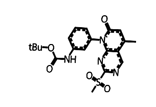 Cc1cc(=O)n(-c2cccc(NC(=O)OC(C)(C)C)c2)c2nc(S(C)(=O)=O)ncc12